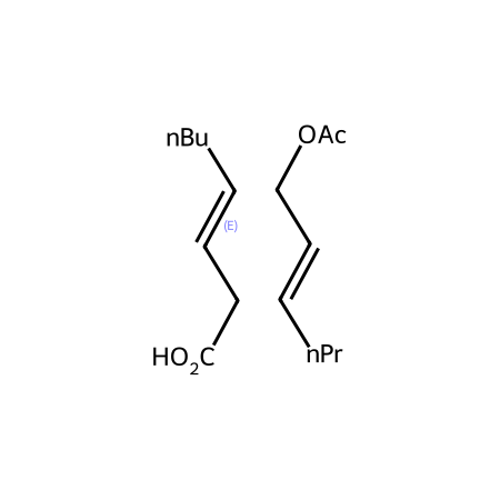 CCCC/C=C/CC(=O)O.CCCC=CCOC(C)=O